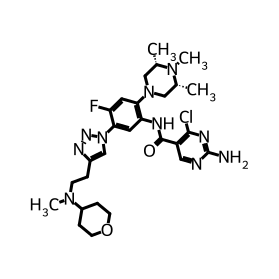 C[C@@H]1CN(c2cc(F)c(-n3cc(CCN(C)C4CCOCC4)nn3)cc2NC(=O)c2cnc(N)nc2Cl)C[C@H](C)N1C